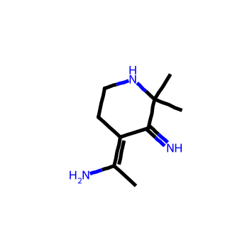 C/C(N)=C1/CCNC(C)(C)C1=N